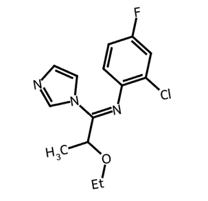 CCOC(C)C(=Nc1ccc(F)cc1Cl)n1ccnc1